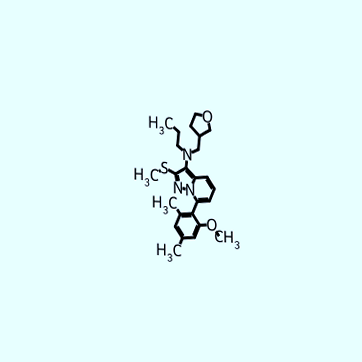 CCCN(CC1CCOC1)c1c(SC)nn2c(-c3c(C)cc(C)cc3OC)cccc12